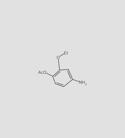 CCOc1cc(N)ccc1OC(C)=O